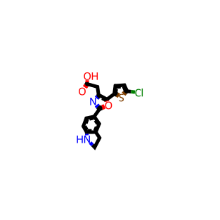 O=C(O)Cc1nc(-c2ccc3c(c2)CCN3)oc1-c1ccc(Cl)s1